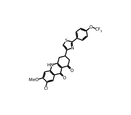 COc1cc2[nH]c3c(c(=O)c2cc1Cl)C(=O)CC(c1csc(-c2ccc(OC(F)(F)F)cc2)n1)C3